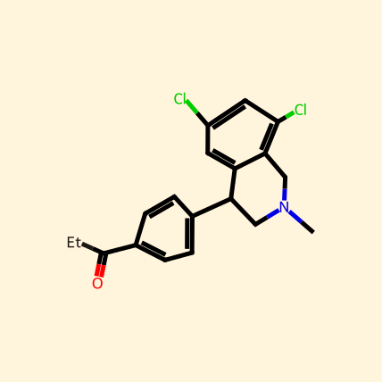 CCC(=O)c1ccc(C2CN(C)Cc3c(Cl)cc(Cl)cc32)cc1